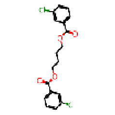 O=C(OCCCCOC(=O)c1cccc(Cl)c1)c1cccc(Cl)c1